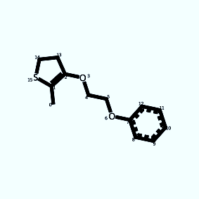 CC1=C(OCCOc2ccccc2)CCS1